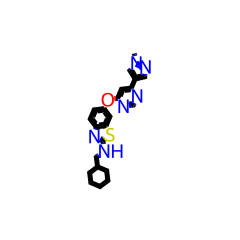 Cn1cc(-c2cc(Oc3ccc4nc(NCC5CCCCC5)sc4c3)ncn2)cn1